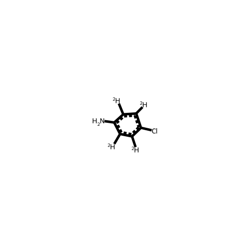 [2H]c1c([2H])c(Cl)c([2H])c([2H])c1N